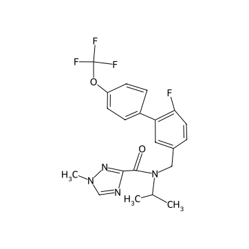 CC(C)N(Cc1ccc(F)c(-c2ccc(OC(F)(F)F)cc2)c1)C(=O)c1ncn(C)n1